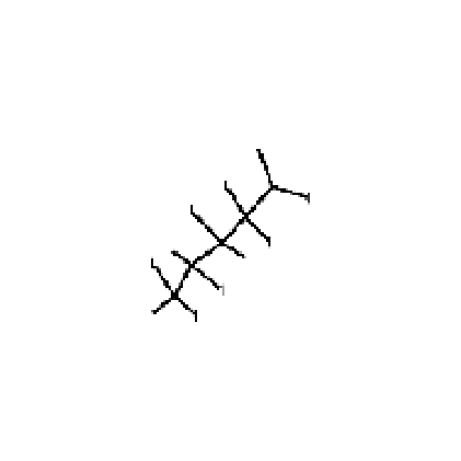 I[C](I)C(I)(I)C(I)(I)C(I)(I)C(I)(I)I